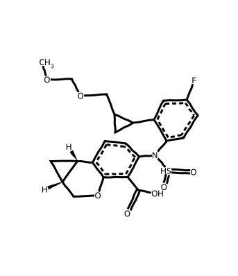 COCOCC1CC1c1cc(F)ccc1N(c1ccc2c(c1C(=O)O)OC[C@@H]1C[C@H]21)[SH](=O)=O